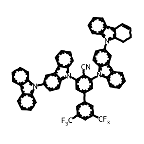 N#Cc1c(-n2c3ccccc3c3cc(-n4c5c(c6ccccc64)C=CCC5)ccc32)cc(-c2cc(C(F)(F)F)cc(C(F)(F)F)c2)cc1-n1c2ccccc2c2cc(-n3c4ccccc4c4ccccc43)ccc21